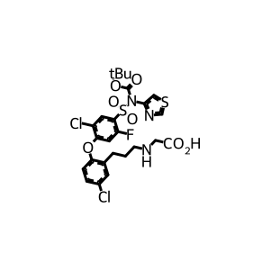 CC(C)(C)OC(=O)N(c1cscn1)S(=O)(=O)c1cc(Cl)c(Oc2ccc(Cl)cc2CCCNCC(=O)O)cc1F